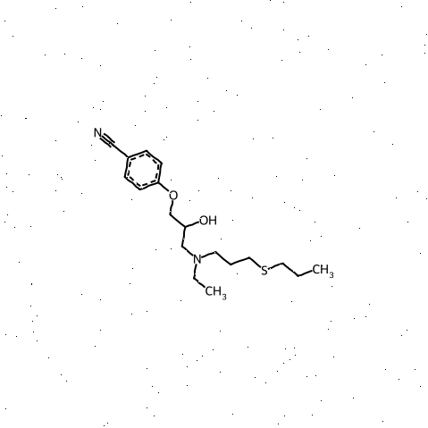 CCCSCCCN(CC)CC(O)COc1ccc(C#N)cc1